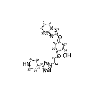 Cl.c1ccc2sc(Oc3ccc(OCCn4nnc(C5CCNCC5)n4)cc3)nc2c1